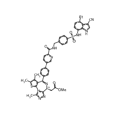 CCc1ccc(NS(=O)(=O)c2ccc(CNC(=O)c3ccc(-c4ccc(C5=N[C@@H](CC(=O)OC)c6nnc(C)n6-c6sc(C)c(C)c65)cc4)cn3)cc2)c2[nH]cc(C#N)c12